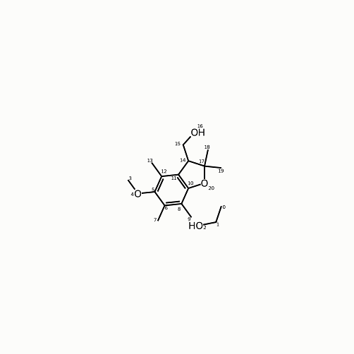 CCO.COc1c(C)c(C)c2c(c1C)C(CO)C(C)(C)O2